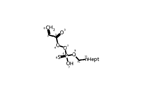 C=CC(=O)OOP(O)(=S)OCCCCCCCC